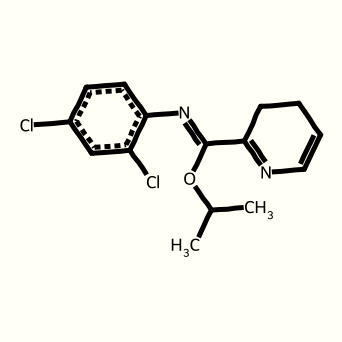 CC(C)OC(=Nc1ccc(Cl)cc1Cl)C1=NC=CCC1